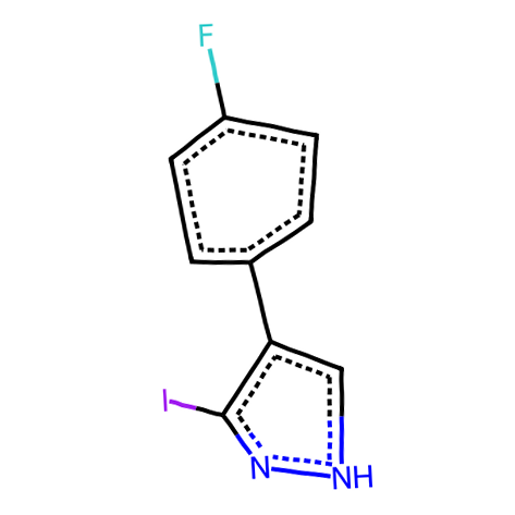 Fc1ccc(-c2c[nH]nc2I)cc1